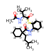 CC(=O)N[C@H](C(=O)Sc1ccccc1NC(=O)C1(CCC(C)C)CCCCC1)C(C)C